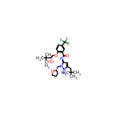 CC(C)(C)Cc1cc(=NC(=O)c2cc(C(F)(F)F)ccc2OC[C@H](O)C(C)(C)C)n(C[C@H]2CCCO2)[nH]1